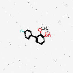 COc1c(O)cccc1-c1ccc(F)cc1